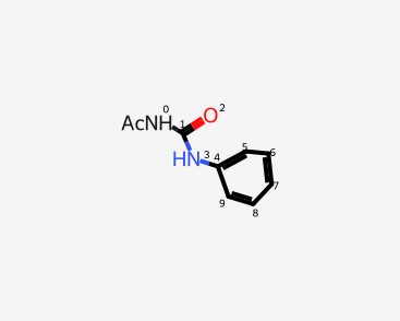 CC(=O)NC(=O)Nc1ccccc1